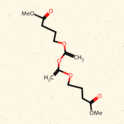 C=C(OCCCC(=O)OC)OC(=C)OCCCC(=O)OC